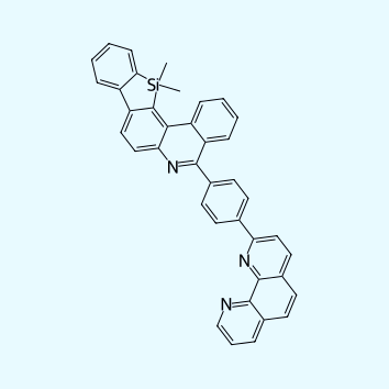 C[Si]1(C)c2ccccc2-c2ccc3nc(-c4ccc(-c5ccc6ccc7cccnc7c6n5)cc4)c4ccccc4c3c21